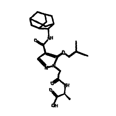 CC(C)COc1c(C(=O)NC2C3CC4CC(C3)CC2C4)cnn1CC(=O)N[C@@H](C)C(=O)O